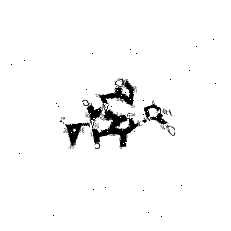 Cc1c(CN2CCNC2=O)sc2c1c(=O)n([C@H]1C[C@@H]1C)c(=O)n2CC1CCO1